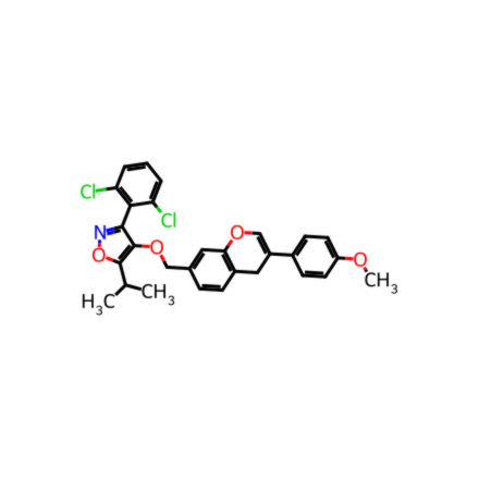 COc1ccc(C2=COc3cc(COc4c(-c5c(Cl)cccc5Cl)noc4C(C)C)ccc3C2)cc1